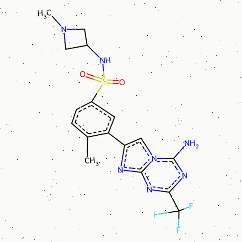 Cc1ccc(S(=O)(=O)NC2CN(C)C2)cc1-c1cn2c(N)nc(C(F)(F)F)nc2n1